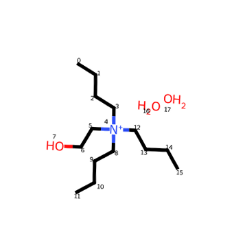 CCCC[N+](CCO)(CCCC)CCCC.O.O